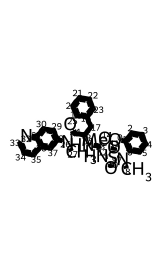 COc1ccccc1N(C)S(=O)(=O)NC(=O)NC(Cc1ccccc1)C(=O)N(C)c1ccc2ncccc2c1